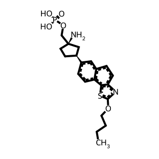 CCCCOc1nc2ccc3cc([C@H]4CC[C@](N)(COP(=O)(O)O)C4)ccc3c2s1